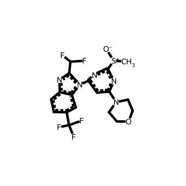 C[S+]([O-])c1nc(N2CCOCC2)cc(-n2c(C(F)F)nc3ccc(C(F)(F)F)cc32)n1